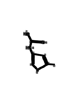 Cc1cc(NC(=O)O)cs1